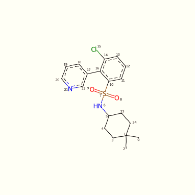 CC1(C)CCC(NS(=O)(=O)c2cccc(Cl)c2-c2cccnc2)CC1